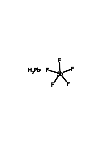 [F][Sb]([F])([F])([F])[F].[PbH2]